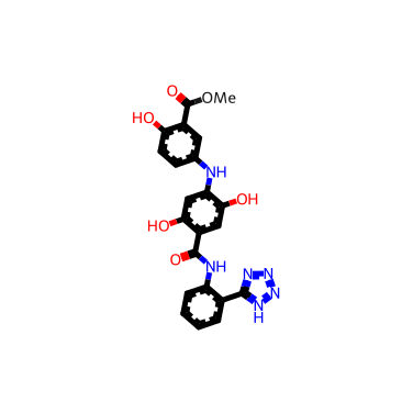 COC(=O)c1cc(Nc2cc(O)c(C(=O)Nc3ccccc3-c3nnn[nH]3)cc2O)ccc1O